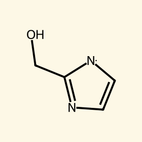 OCC1=NC=C[N]1